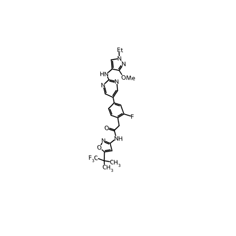 [CH2]Cn1cc(Nc2ncc(-c3ccc(CC(=O)Nc4cc(C(C)(C)C(F)(F)F)on4)c(F)c3)cn2)c(OC)n1